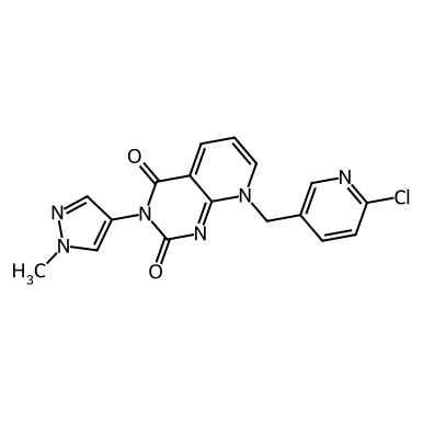 Cn1cc(-n2c(=O)nc3n(Cc4ccc(Cl)nc4)cccc-3c2=O)cn1